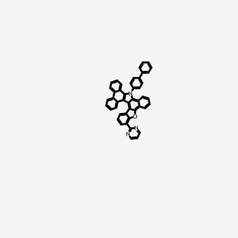 c1ccc(-c2ccc(-n3c4c5ccccc5c5ccccc5c4c4c5c6cccc(-c7ncccn7)c6oc5c5ccccc5c43)cc2)cc1